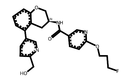 O=C(N[C@@H]1COc2cccc(-c3ccc(CO)nc3)c2C1)c1ccc(OCCCF)nc1